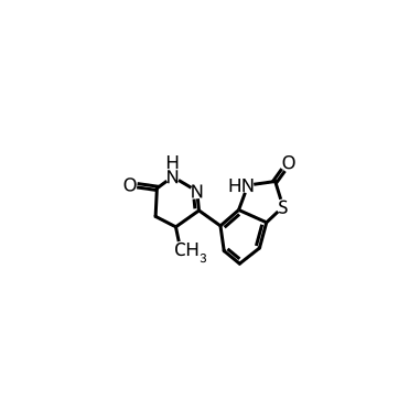 CC1CC(=O)NN=C1c1cccc2sc(=O)[nH]c12